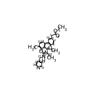 CCOC(=O)Cc1ccc(OC)c(-c2ccc(C)cc2CN(CC)C(=O)NCc2ccncc2)c1